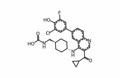 O=C(O)NC[C@H]1CC[C@H](Nc2c(C(=O)C3CC3)cnc3ccc(-c4cc(F)c(O)c(Cl)c4)cc23)CC1